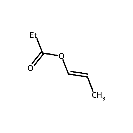 [CH2]CC(=O)OC=CC